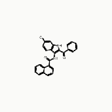 O=C(c1ccccc1)c1[nH]c2cc(Cl)ccc2c1NC(=O)c1cccc2ccccc12